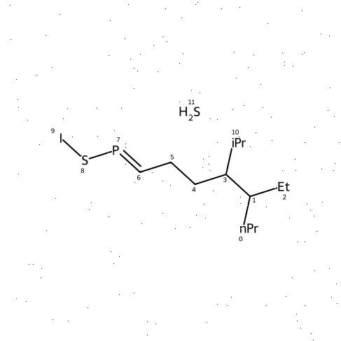 CCCC(CC)C(CCC=PSI)C(C)C.S